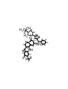 CC(C)(C)N1CCC(n2cc([C@@H](Nc3cc(Cl)c4ncc(C#N)c(Nc5ccc(F)c(C(F)(F)F)c5)c4c3)c3ccccc3)nn2)CC1